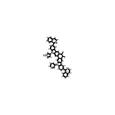 CC1c2cc3c4c(n(-c5cccnc5)c3cc2-c2cc3c(cc2C1C)c1cc(-c2nccc5ccccc25)ccc1n3-c1cc[nH]c1)CCC(c1nccc2ccccc12)=C4